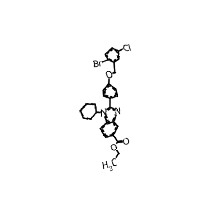 CCOC(=O)c1ccc2c(c1)nc(-c1ccc(OCc3cc(Cl)ccc3Br)cc1)n2C1CCCCC1